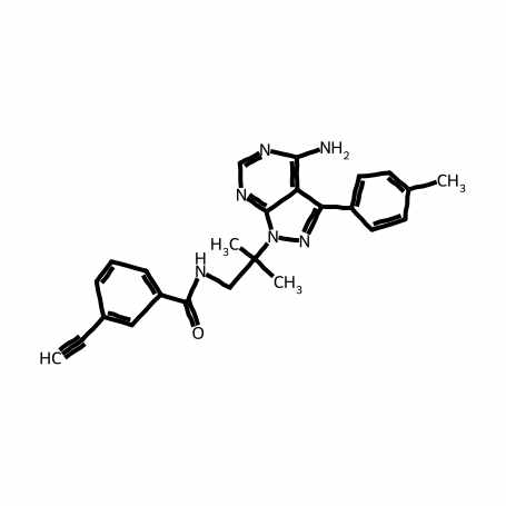 C#Cc1cccc(C(=O)NCC(C)(C)n2nc(-c3ccc(C)cc3)c3c(N)ncnc32)c1